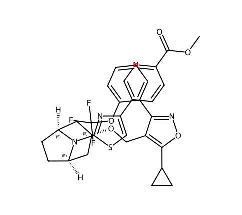 COC(=O)c1ccc(-c2csc(N3[C@@H]4CC[C@H]3C[C@H](OCc3c(-c5ccccc5OC(F)(F)F)noc3C3CC3)C4)n2)cn1